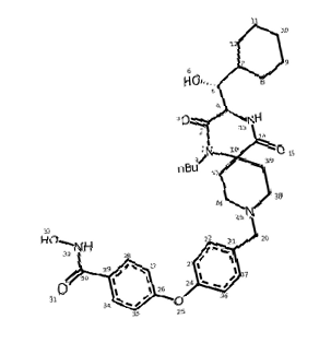 CCCCN1C(=O)[C@@H]([C@H](O)C2CCCCC2)NC(=O)C12CCN(Cc1ccc(Oc3ccc(C(=O)NO)cc3)cc1)CC2